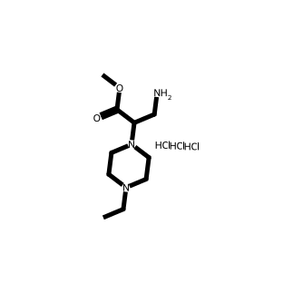 CCN1CCN(C(CN)C(=O)OC)CC1.Cl.Cl.Cl